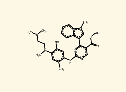 CCC(C)OC(=O)c1cnc(Nc2cc([N+](=O)[O-])c(N(C)CCN(C)C)cc2C)nc1-c1cn(C)c2ccccc12